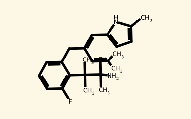 CC(C)=C/C(=C\c1ccc(C)[nH]1)Cc1cccc(F)c1C(C)(C)C(C)(C)N